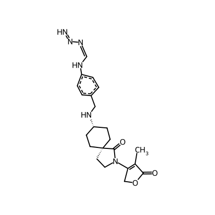 CC1=C(N2CC[C@]3(CC[C@@H](NCc4ccc(N/C=N\N=N)cc4)CC3)C2=O)COC1=O